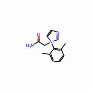 Cc1cccc(C)c1[N+]1(CC(N)=O)C=CN=C1